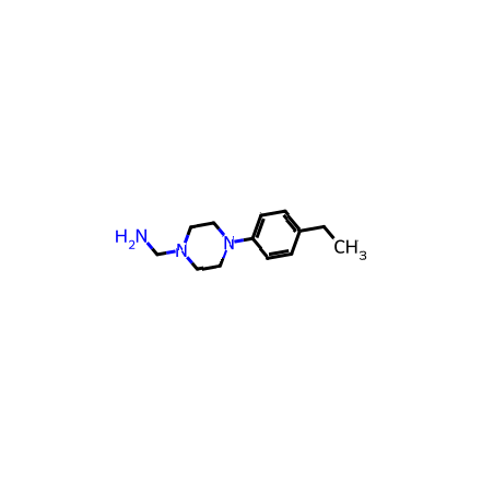 CCc1ccc(N2CCN(CN)CC2)cc1